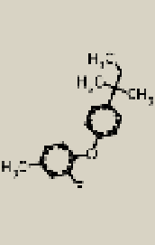 CCC(C)(C)c1ccc(Oc2ccc(C)cc2F)cc1